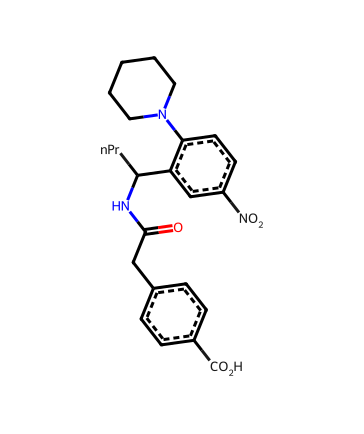 CCCC(NC(=O)Cc1ccc(C(=O)O)cc1)c1cc([N+](=O)[O-])ccc1N1CCCCC1